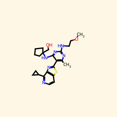 COCCNc1nc(C)c(-c2nc3c(C4CC4)nccc3s2)c(NC2(CO)CCCC2)n1